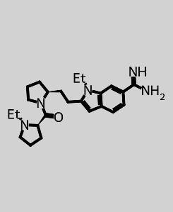 CCN1CCC[C@@H]1C(=O)N1CCC[C@H]1CCc1cc2ccc(C(=N)N)cc2n1CC